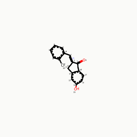 O=C1/C(=C/c2ccccc2C(F)(F)F)Cc2cc(O)ccc21